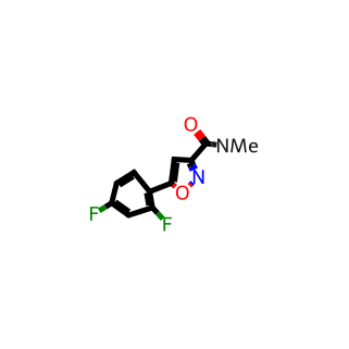 CNC(=O)c1cc(-c2ccc(F)cc2F)on1